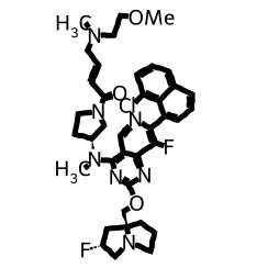 COCCN(C)C/C=C/C(=O)N1CC[C@@H](N(C)c2nc(OC[C@@]34CCCN3C[C@H](F)C4)nc3c(F)c(-c4cccc5cccc(Cl)c45)ncc23)C1